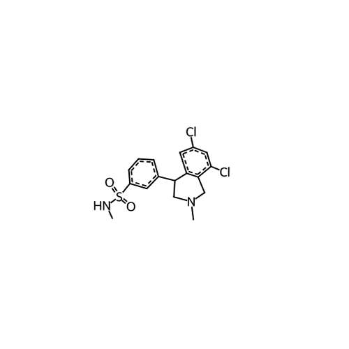 CNS(=O)(=O)c1cccc(C2CN(C)Cc3c(Cl)cc(Cl)cc32)c1